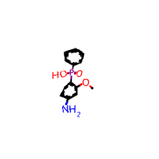 COc1cc(N)ccc1P(=O)(O)c1ccccc1